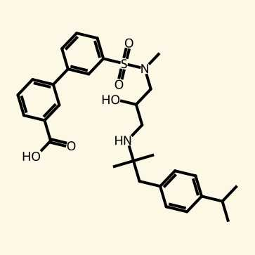 CC(C)c1ccc(CC(C)(C)NCC(O)CN(C)S(=O)(=O)c2cccc(-c3cccc(C(=O)O)c3)c2)cc1